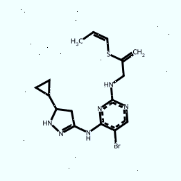 C=C(CNc1ncc(Br)c(NC2=NNC(C3CC3)C2)n1)S/C=C\C